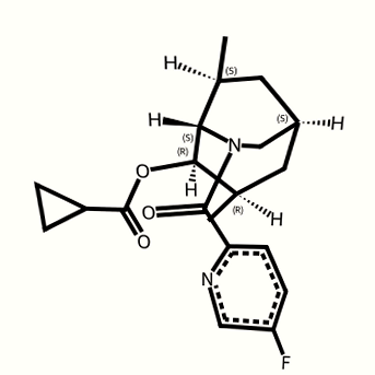 C[C@@H]1C[C@@H]2C[C@H](C)[C@@H]([C@@H]1OC(=O)C1CC1)N(C(=O)c1ccc(F)cn1)C2